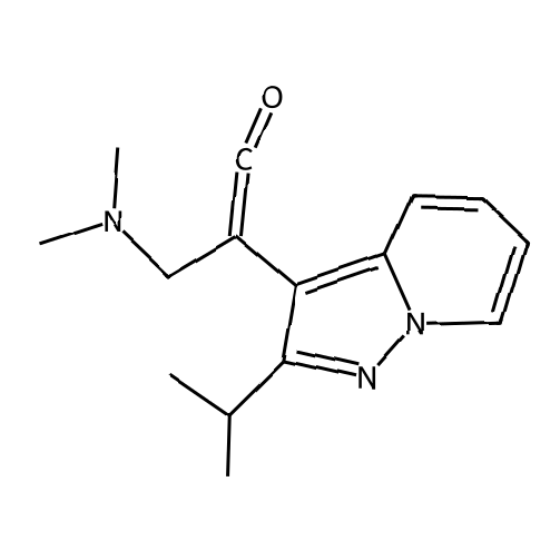 CC(C)c1nn2ccccc2c1C(=C=O)CN(C)C